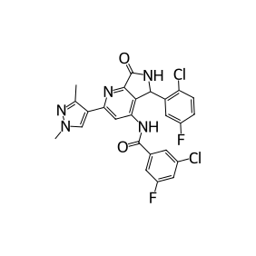 Cc1nn(C)cc1-c1cc(NC(=O)c2cc(F)cc(Cl)c2)c2c(n1)C(=O)NC2c1cc(F)ccc1Cl